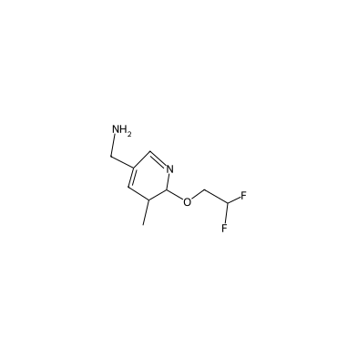 CC1C=C(CN)C=NC1OCC(F)F